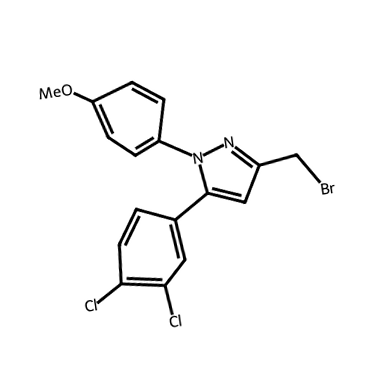 COc1ccc(-n2nc(CBr)cc2-c2ccc(Cl)c(Cl)c2)cc1